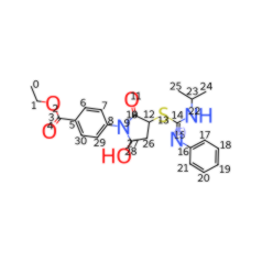 CCOC(=O)c1ccc(N2C(=O)C(S/C(=N/c3ccccc3)NC(C)C)CC2O)cc1